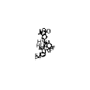 Cc1noc(=O)c2ccc(NC(=O)C(O)(CC3(c4cc(C(F)(F)F)ccc4F)CC3)C3(F)CC(C)CC(F)C3(F)C(C)C)cc12